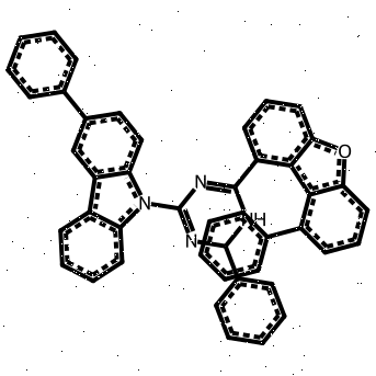 c1ccc(-c2ccc3c(c2)c2ccccc2n3C2=NC(c3ccccc3)NC(c3cccc4oc5cccc(-c6ccccc6)c5c34)=N2)cc1